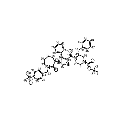 CC(C)(C)OC(=O)N1CCN(C(=O)c2ncn(C3CCCCN(Cc4ccc(S(C)(=O)=O)cc4)C3=O)c2-c2ccccc2)[C@H](Cc2ccccc2)C1